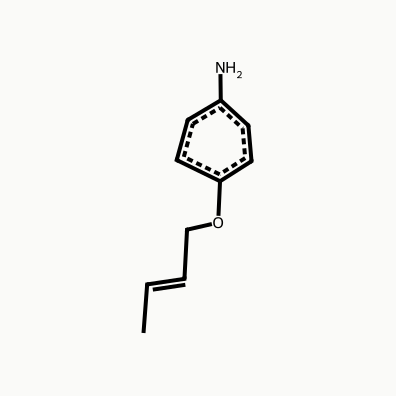 C/C=C/COc1ccc(N)cc1